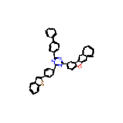 c1ccc(-c2ccc(-c3nc(-c4ccc(-c5cc6ccccc6s5)cc4)nc(-c4ccc5oc6cc7ccccc7cc6c5c4)n3)cc2)cc1